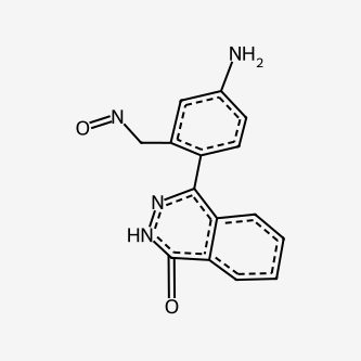 Nc1ccc(-c2n[nH]c(=O)c3ccccc23)c(CN=O)c1